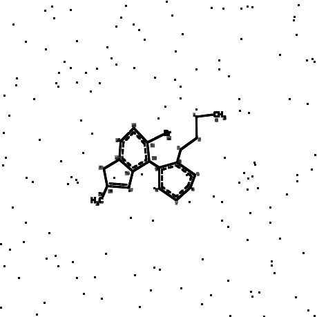 CCCCc1ccccc1-c1c(Br)ccc2c1C=C(C)C2